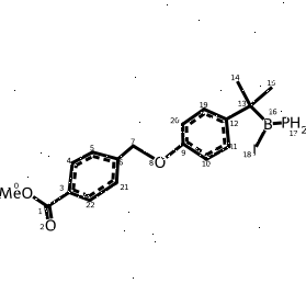 COC(=O)c1ccc(COc2ccc(C(C)(C)B(P)I)cc2)cc1